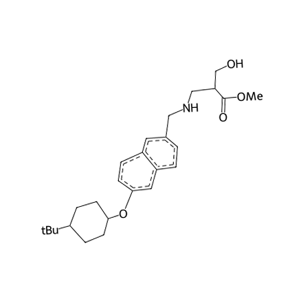 COC(=O)C(CO)CNCc1ccc2cc(OC3CCC(C(C)(C)C)CC3)ccc2c1